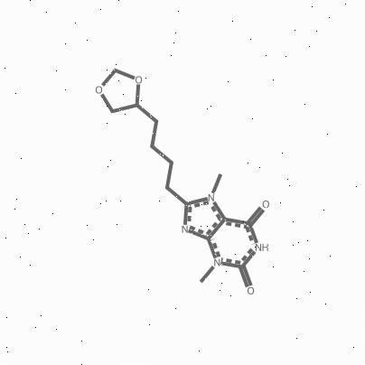 Cn1c(CCCCC2COCO2)nc2c1c(=O)[nH]c(=O)n2C